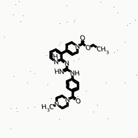 CCOC(=O)N1CC=C(c2ccc[nH]/c2=N\C(=N)Nc2ccc(C(=O)N3CCN(C)CC3)cc2)CC1